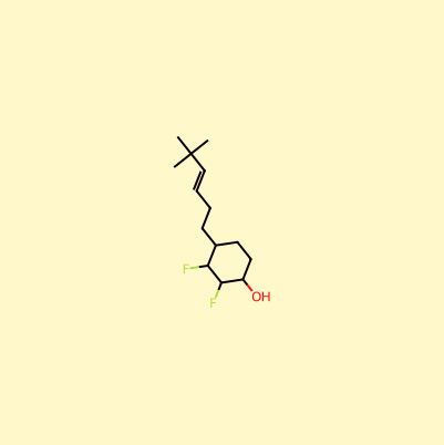 CC(C)(C)C=CCCC1CCC(O)C(F)C1F